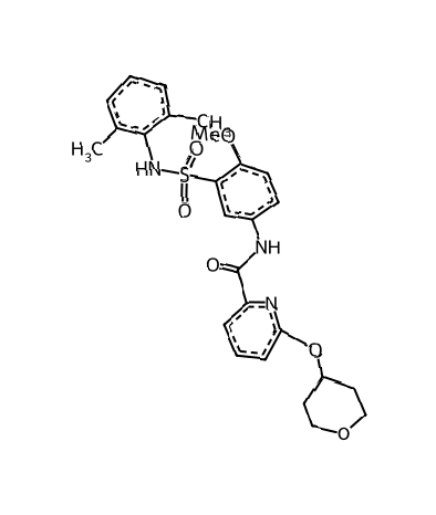 COc1ccc(NC(=O)c2cccc(OC3CCOCC3)n2)cc1S(=O)(=O)Nc1c(C)cccc1C